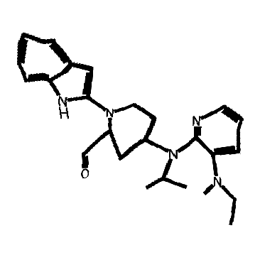 CCN(C)c1cccnc1N(C(C)C)C1CCN(c2cc3ccccc3[nH]2)C(C=O)C1